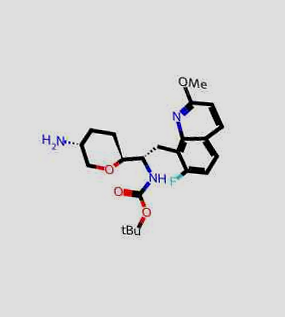 COc1ccc2ccc(F)c(C[C@H](NC(=O)OC(C)(C)C)[C@@H]3CC[C@@H](N)CO3)c2n1